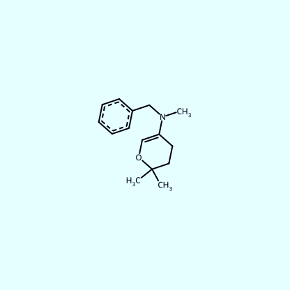 CN(Cc1ccccc1)C1=COC(C)(C)CC1